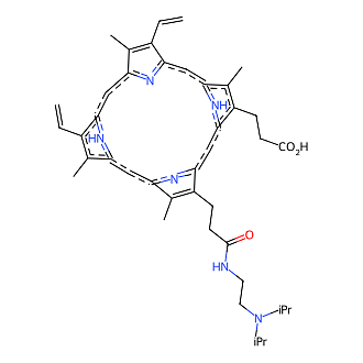 C=CC1=C(C)c2cc3[nH]c(cc4nc(cc5[nH]c(cc1n2)c(C)c5CCC(=O)O)C(CCC(=O)NCCN(C(C)C)C(C)C)=C4C)c(C)c3C=C